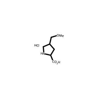 COCC1CNC(C(=O)O)C1.Cl